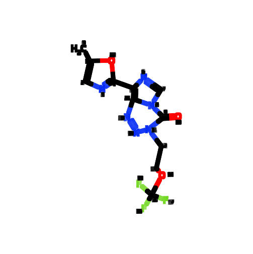 Cc1cnc(-c2ncn3c(=O)n(CCOC(F)(F)F)nnc23)o1